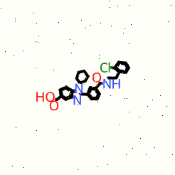 O=C(O)c1ccc2c(c1)nc(-c1cccc(C(=O)NCCc3ccccc3Cl)c1)n2C1CCCCC1